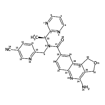 C[C@@H](c1ncccn1)N(Cc1ccc(C#N)cn1)C(=O)c1ccc2nc(N)c3c(c2c1)COC3